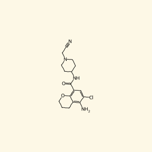 N#CCN1CCC(NC(=O)c2cc(Cl)c(N)c3c2OCCC3)CC1